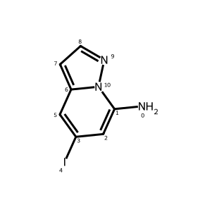 Nc1cc(I)cc2ccnn12